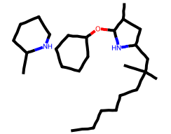 CC1CCCCN1.CCCCCCC(C)(C)CC1CC(C)C(OC2CCCCC2)N1